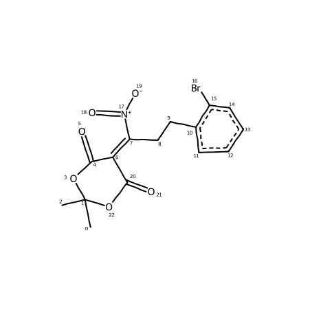 CC1(C)OC(=O)C(=C(CCc2ccccc2Br)[N+](=O)[O-])C(=O)O1